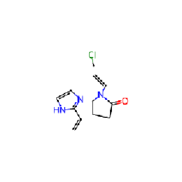 C=CN1CCCC1=O.C=Cc1ncc[nH]1.CCl